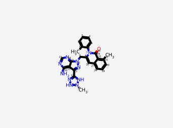 Cc1ccccc1-n1c(Cn2nc(C3=NNN(C)N3)c3c(N)ncnc32)cc2cccc(C)c2c1=O